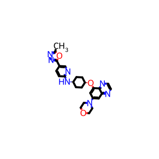 Cc1nnc(-c2ccc(N[C@H]3CC[C@@H](Oc4cc(N5CCOCC5)cc5nccnc45)CC3)nc2)o1